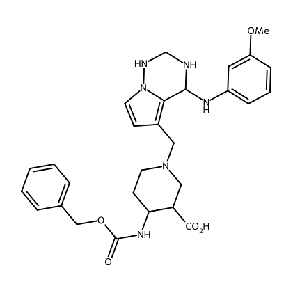 COc1cccc(NC2NCNn3ccc(CN4CCC(NC(=O)OCc5ccccc5)C(C(=O)O)C4)c32)c1